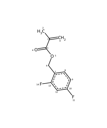 C=C(C)C(=O)OCc1ccc(F)cc1F